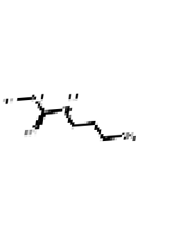 CNC(=N)NCCCN.Cl